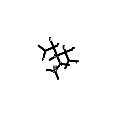 CC(F)C(F)(F)[Si](C)(N(C)[SiH](C)C)C(F)(F)C(C)F